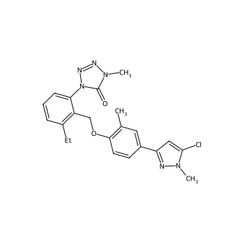 CCc1cccc(-n2nnn(C)c2=O)c1COc1ccc(-c2cc(Cl)n(C)n2)cc1C